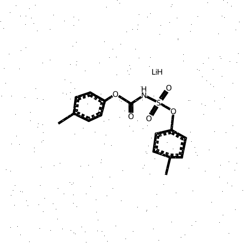 Cc1ccc(OC(=O)NS(=O)(=O)Oc2ccc(C)cc2)cc1.[LiH]